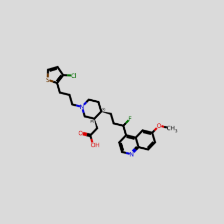 COc1ccc2nccc(C(F)CC[C@@H]3CCN(CCCc4sccc4Cl)C[C@@H]3CC(=O)O)c2c1